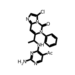 CC(=O)c1cnc(N)nc1NC(C)c1cc2ncc(Cl)n2c(=O)n1-c1ccccc1